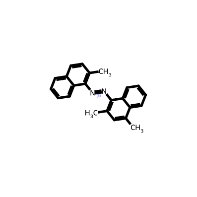 Cc1ccc2ccccc2c1/N=N/c1c(C)cc(C)c2ccccc12